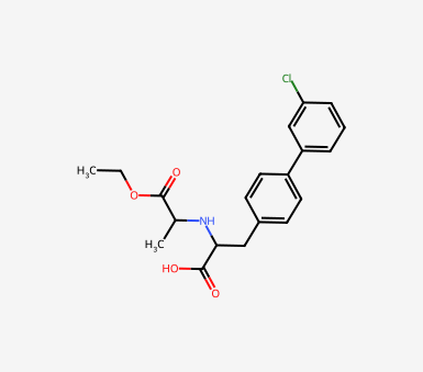 CCOC(=O)C(C)NC(Cc1ccc(-c2cccc(Cl)c2)cc1)C(=O)O